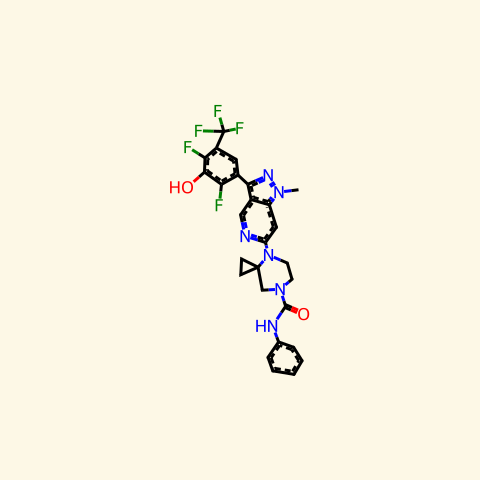 Cn1nc(-c2cc(C(F)(F)F)c(F)c(O)c2F)c2cnc(N3CCN(C(=O)Nc4ccccc4)CC34CC4)cc21